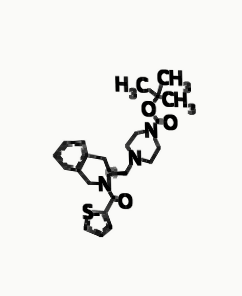 CC(C)(C)OC(=O)N1CCN(C[C@@H]2Cc3ccccc3CN2C(=O)c2cccs2)CC1